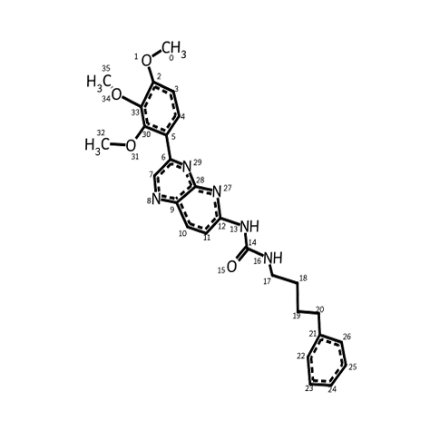 COc1ccc(-c2cnc3ccc(NC(=O)NCCCCc4ccccc4)nc3n2)c(OC)c1OC